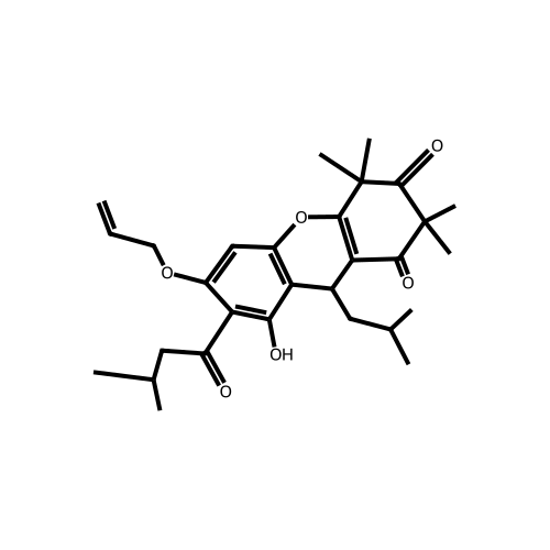 C=CCOc1cc2c(c(O)c1C(=O)CC(C)C)C(CC(C)C)C1=C(O2)C(C)(C)C(=O)C(C)(C)C1=O